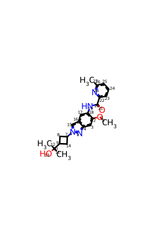 COc1cc2nn(C3CC(C(C)(C)O)C3)cc2cc1NC(=O)c1cccc(C)n1